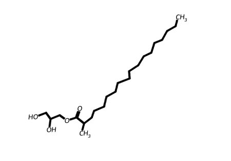 CCCCCCCCCCCCCCCCC(C)C(=O)OCC(O)CO